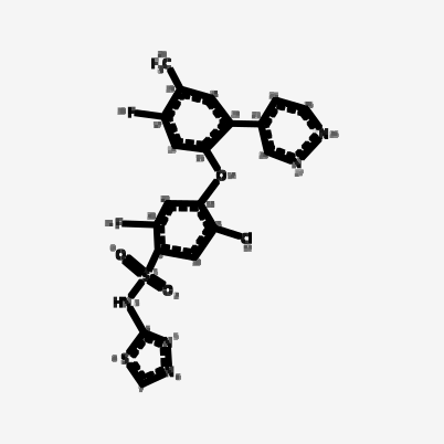 O=S(=O)(Nc1nncs1)c1cc(Cl)c(Oc2cc(F)c(C(F)(F)F)cc2-c2ccnnc2)cc1F